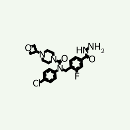 NNC(=O)c1ccc(CN(C(=O)N2CCN(C3COC3)CC2)c2ccc(Cl)cc2)c(F)c1